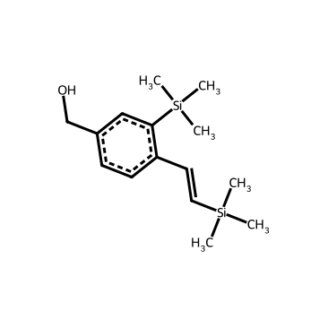 C[Si](C)(C)C=Cc1ccc(CO)cc1[Si](C)(C)C